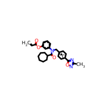 C=CC(=O)Oc1cccc(N(CC23CCC(c4nc(C)no4)(CC2)CC3)C(=O)C2CCCCCC2)c1